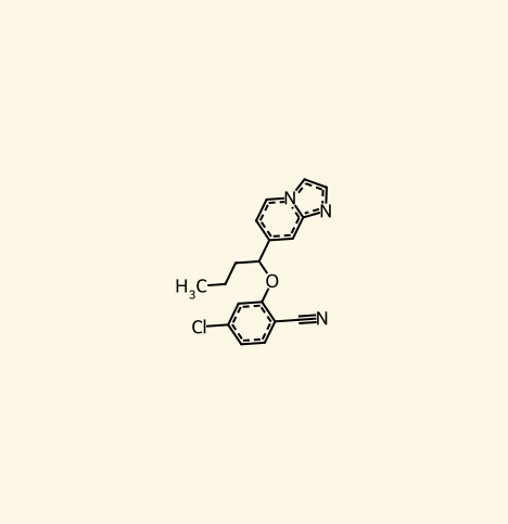 CCCC(Oc1cc(Cl)ccc1C#N)c1ccn2ccnc2c1